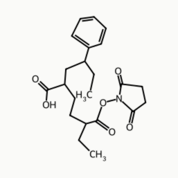 CCC(CCC(CC(CC)c1ccccc1)C(=O)O)C(=O)ON1C(=O)CCC1=O